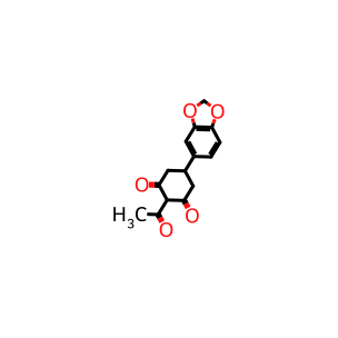 CC(=O)C1C(=O)CC(c2ccc3c(c2)OCO3)CC1=O